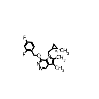 Cc1c(C)n(CC2C[C@@H]2C)c2c(OCc3ccc(F)cc3F)nncc12